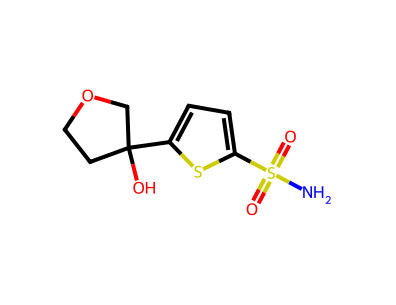 NS(=O)(=O)c1ccc(C2(O)CCOC2)s1